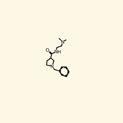 CN(C)CCNC(=O)C1CCN(Cc2ccccc2)C1